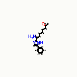 CC(=O)CCCCC[C@H](N)c1ncc(-c2ccccc2)[nH]1